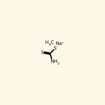 C.NC(=S)[S-].[Na+]